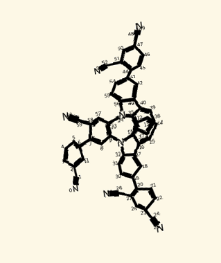 N#Cc1cccc(-c2cc(-n3c4ccccc4c4cc(-c5ccc(C#N)cc5C#N)ccc43)c(-n3c4ccccc4c4cc(-c5ccc(C#N)cc5C#N)ccc43)cc2C#N)c1